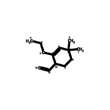 CCOC1=CC(C)(C)CCC1C=O